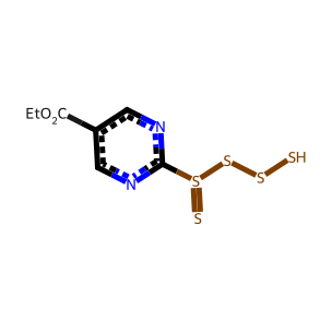 CCOC(=O)c1cnc(S(=S)SSS)nc1